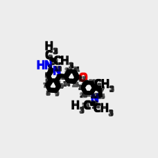 CC(C)Nc1cc2ccccc2c(-c2ccc(OC3CCC4N(C(C)C)CCC4(C)C3)cc2)n1